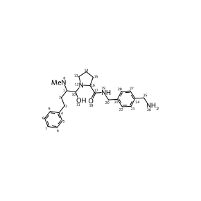 CNC(CCc1ccccc1)C(O)N1CCCC1C(=O)NCc1ccc(CN)cc1